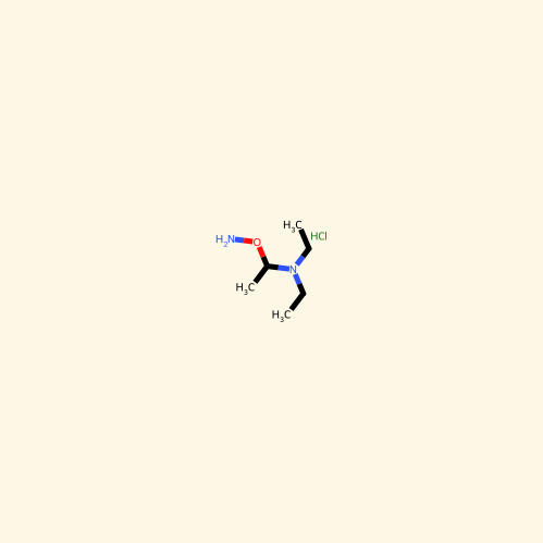 CCN(CC)C(C)ON.Cl